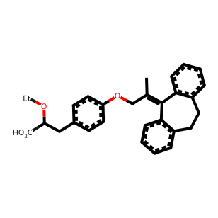 CCOC(Cc1ccc(OCC(C)=C2c3ccccc3CCc3ccccc32)cc1)C(=O)O